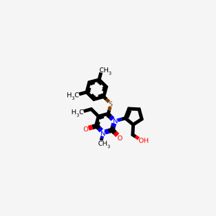 CCc1c(Sc2cc(C)cc(C)c2)n(C2=CCCC2CO)c(=O)n(C)c1=O